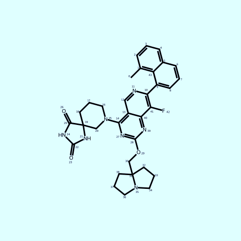 Cc1cccc2cccc(-c3ncc4c(N5CCCC6(C5)NC(=O)NC6=O)nc(OCC56CCCN5CCC6)nc4c3F)c12